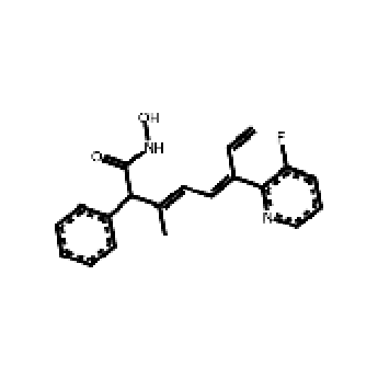 C=C/C(=C\C=C(/C)C(C(=O)NO)c1ccccc1)c1ncccc1F